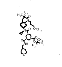 COCCCN1C(=O)C(C)(C)Cc2ccc(N(C(=O)[C@@H]3C[C@H](C(=O)NCC4CCOCC4)CN(C(=O)OC(C)(C)C)C3)C3CC3)cc21